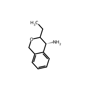 CCC1OCc2ccccc2[C@H]1N